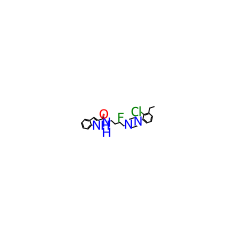 CCc1cccc(N2CCN(C[C@@H](F)CCNC(=O)c3cc4ccccc4[nH]3)CC2)c1Cl